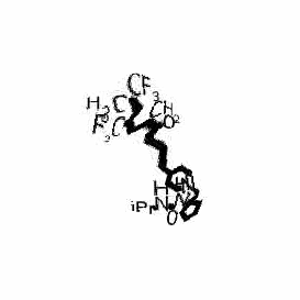 C=C(/C=C(\C=C(/C)C(F)(F)F)C(F)(F)F)C(=O)CCCC1CCN(CC2(NC(=O)NC(C)C)CCCC2)CC1